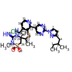 CCC(C)Cc1ccn(-c2ncc(-c3nccc(CCl)c3SC(C)[C@]3(C)CS(=O)(=O)N(C)C(=N)N3)cn2)n1